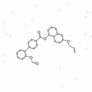 C=CCOc1ccc2c(OC(=O)c3ccc(-c4ccccc4OC=O)cc3)cccc2c1